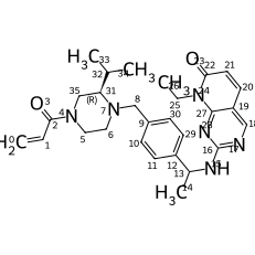 C=CC(=O)N1CCN(Cc2ccc(C(C)Nc3ncc4ccc(=O)n(CC)c4n3)cc2)[C@H](C(C)C)C1